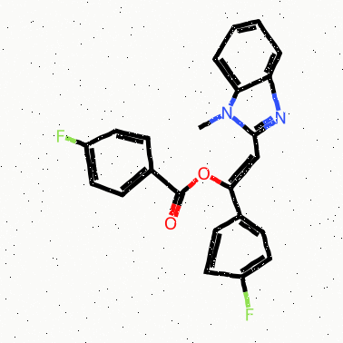 Cn1c(/C=C(\OC(=O)c2ccc(F)cc2)c2ccc(F)cc2)nc2ccccc21